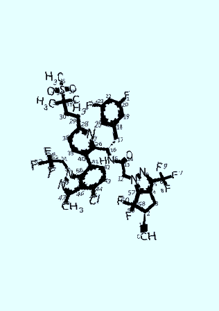 C#C[C@@H]1Cc2c(C(F)(F)F)nn(CC(=O)N[C@@H](Cc3cc(F)cc(F)c3)c3nc(CCC(C)(C)S(C)(=O)=O)ccc3-c3ccc(Cl)c4c(C)nn(CC(F)(F)F)c34)c2C1(F)F